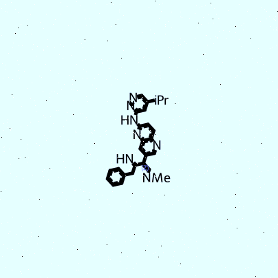 CN/C=C(\C(=N)Cc1ccccc1)c1cnc2ccc(Nc3cc(C(C)C)cnn3)nc2c1